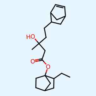 CCC1CC2CCC1(OC(=O)CC(C)(O)CCC1CC3C=CC1C3)C2